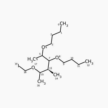 CCCCOC(C)C(OCCCC)[C@@H](C)C(C)OCI